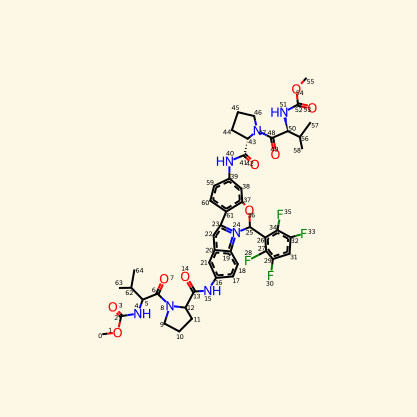 COC(=O)NC(C(=O)N1CCCC1C(=O)Nc1ccc2c(c1)cc1n2C(c2c(F)c(F)cc(F)c2F)Oc2cc(NC(=O)[C@@H]3CCCN3C(=O)[C@@H](NC(=O)OC)C(C)C)ccc2-1)C(C)C